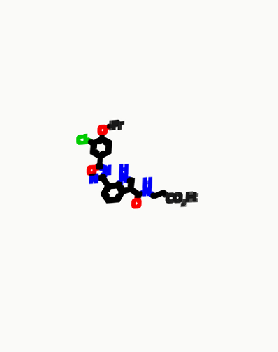 CCOC(=O)CCNC(=O)c1c[nH]c2c(-c3noc(-c4ccc(OC(C)C)c(Cl)c4)n3)cccc12